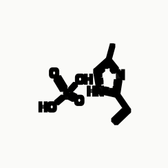 C=Cc1nc(C)c[nH]1.O=S(=O)(O)O